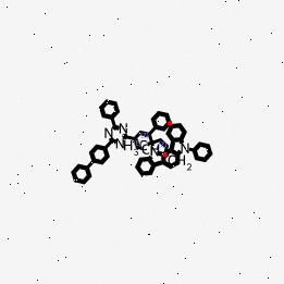 C=C/C=C\C(C)(/C(=C\C(=C/C)c1nc(-c2ccccc2)nc(-c2ccc(-c3ccccc3)cc2)n1)c1ccccc1)n1c2ccccc2c2ccc3c(c4ccccc4n3-c3ccccc3)c21